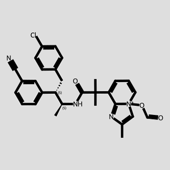 CC1=C[N+]2(OC=O)C=CC=C(C(C)(C)C(=O)N[C@@H](C)[C@@H](Cc3ccc(Cl)cc3)c3cccc(C#N)c3)C2=N1